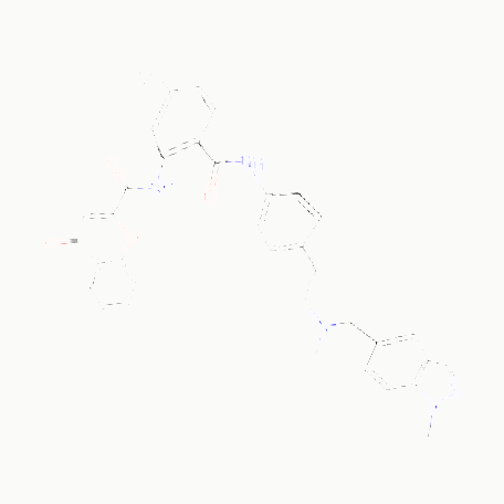 CN(CCc1ccc(NC(=O)c2ccc(C(=O)O)cc2NC(=O)c2cc(=O)c3ccccc3o2)cc1)Cc1ccc2c(cnn2C)c1